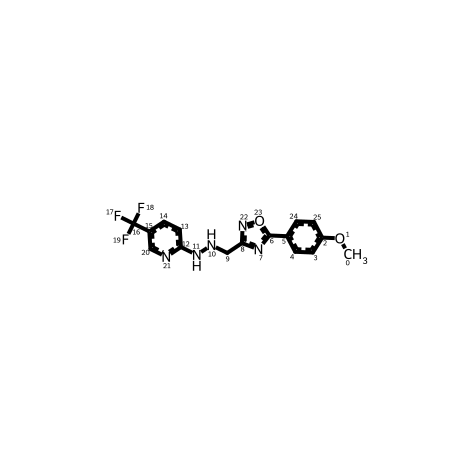 COc1ccc(-c2nc(CNNc3ccc(C(F)(F)F)cn3)no2)cc1